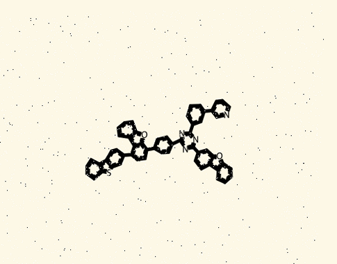 c1cncc(-c2cccc(-c3nc(-c4ccc(-c5ccc(-c6ccc7c(c6)sc6ccccc67)c6c5oc5ccccc56)cc4)nc(-c4ccc5c(c4)oc4ccccc45)n3)c2)c1